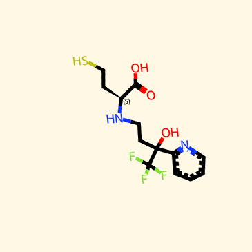 O=C(O)[C@H](CCS)NCCC(O)(c1ccccn1)C(F)(F)F